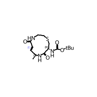 C[C@H]1/C=C/C(=O)NCCSC[C@H](NC(=O)OC(C)(C)C)C(=O)N1